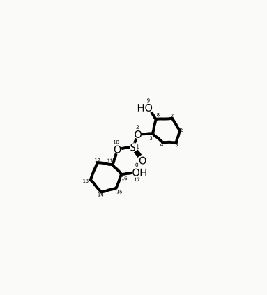 O=S(OC1CCCCC1O)OC1CCCCC1O